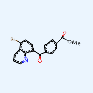 COC(=O)c1ccc(C(=O)c2ccc(Br)c3cccnc23)cc1